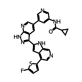 O=C(Nc1cncc(-c2cnc3[nH]nc(-c4cc5c(-c6ccc(F)s6)cncc5[nH]4)c3c2)c1)C1CC1